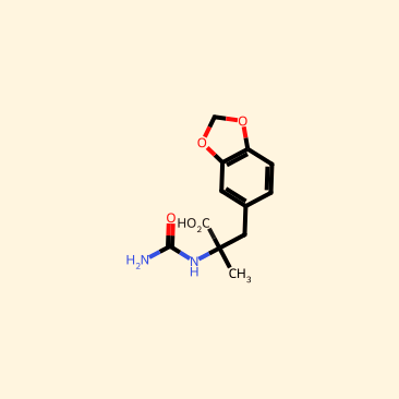 CC(Cc1ccc2c(c1)OCO2)(NC(N)=O)C(=O)O